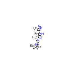 CCC(C)(CNC1CCN(c2ncc3[nH]c(-c4cc(C)c5ncnn5c4)c(C(C)C)c3c2C)CC1)OC